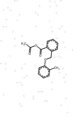 CC(=O)OC(=O)c1ccccc1COc1ccccc1C